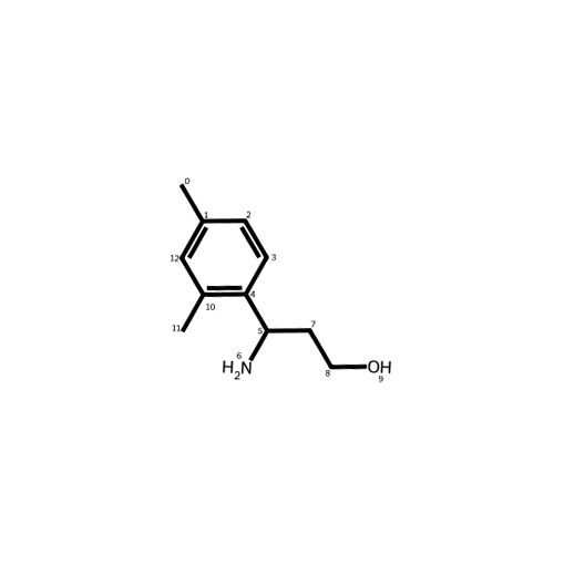 Cc1ccc(C(N)CCO)c(C)c1